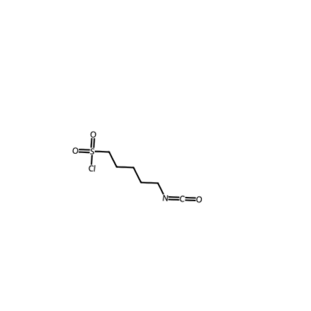 O=C=NCCCCCS(=O)(=O)Cl